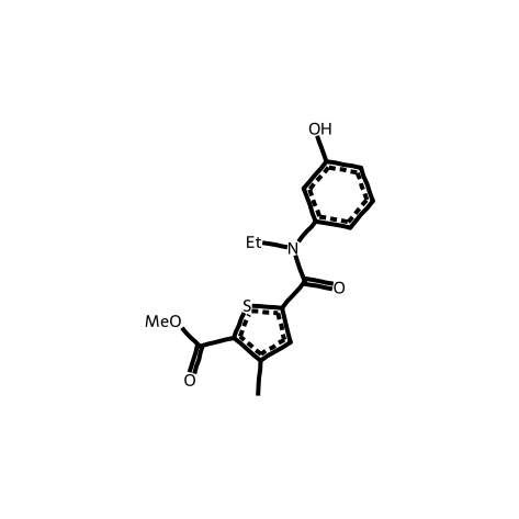 CCN(C(=O)c1cc(C)c(C(=O)OC)s1)c1cccc(O)c1